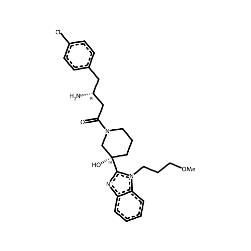 COCCCn1c([C@]2(O)CCCN(C(=O)C[C@H](N)Cc3ccc(Cl)cc3)C2)nc2ccccc21